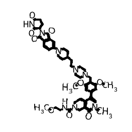 COCCNC(=O)N1CCc2c(-c3cc(OC)c(CN4CCN(CCC5CCN(c6ccc7c(c6)C(=O)N(C6CCC(=O)NC6=O)C7=O)CC5)CC4)c(OC)c3)cn(C)c(=O)c2C1